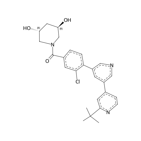 CC(C)(C)c1cc(-c2cncc(-c3ccc(C(=O)N4C[C@H](O)C[C@@H](O)C4)cc3Cl)c2)ccn1